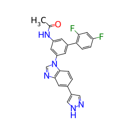 CC(=O)Nc1cc(-c2ccc(F)cc2F)cc(-n2cnc3cc(-c4cn[nH]c4)ccc32)c1